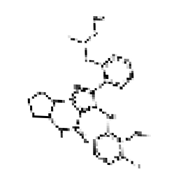 COCC(C)Oc1cnccc1-c1[nH]c2c(c1Nc1cccc(Cl)c1OC)C(=O)NC1CCCC21